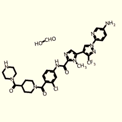 Cn1c(-c2cn(-c3ccc(N)cn3)nc2C(F)(F)F)cnc1C(=O)Nc1ccc(C(=O)N2CCC(C(=O)N3CCNCC3)CC2)c(Cl)c1.O=CO